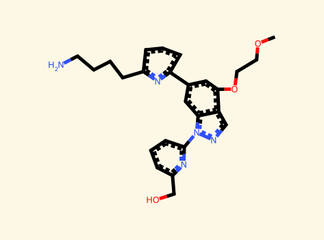 COCCOc1cc(-c2cccc(CCCCN)n2)cc2c1cnn2-c1cccc(CO)n1